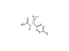 O=C(O)C(F)[C@@H](c1ccc(Cl)cc1)C1CC1